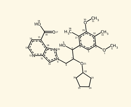 COc1cc(C(O)C(Cn2cc3nccc(C(=O)O)c3n2)OC2CCCC2)c(C)c(OC)c1C